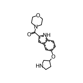 O=C(c1cc2cc(OC3CCNC3)ccc2[nH]1)N1CCOCC1